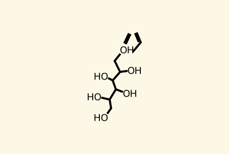 C=C.C=CC.OCC(O)C(O)C(O)C(O)CO